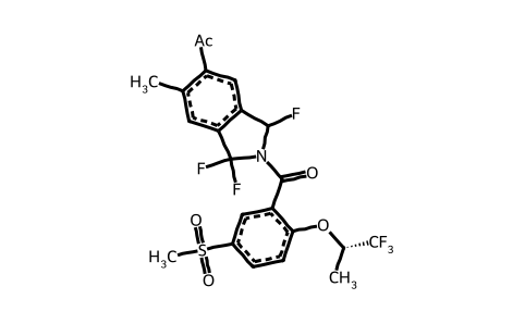 CC(=O)c1cc2c(cc1C)C(F)(F)N(C(=O)c1cc(S(C)(=O)=O)ccc1O[C@@H](C)C(F)(F)F)C2F